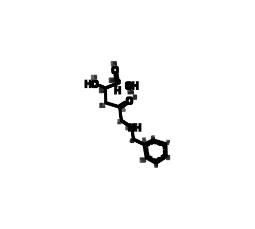 O=C(CNCc1ccccc1)CC(O)[PH](=O)O